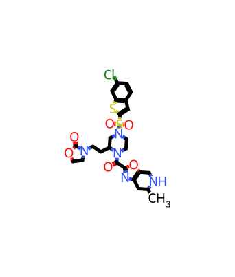 CC1Cc2nc(C(=O)N3CCN(S(=O)(=O)c4cc5ccc(Cl)cc5s4)CC3CCN3CCOC3=O)oc2CN1